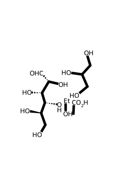 CC(=O)O.CCO.O=C[C@H](O)[C@@H](O)[C@H](O)[C@H](O)CO.OCC(O)CO